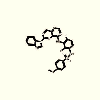 COc1ccc(S(=O)(=O)Nc2ccc(F)c(Nc3ncnc4cnc(-n5cnc6ccccc65)nc34)c2F)cc1